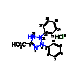 Cl.O=C(O)C1=NN(c2ccccc2)N(c2ccccc2)N1